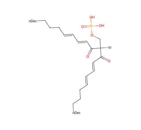 CCCCCCCCCCCCCC=CC=CC(=O)C(Br)(COP(=O)(O)O)C(=O)C=CC=CCCCCCCCCCCCCC